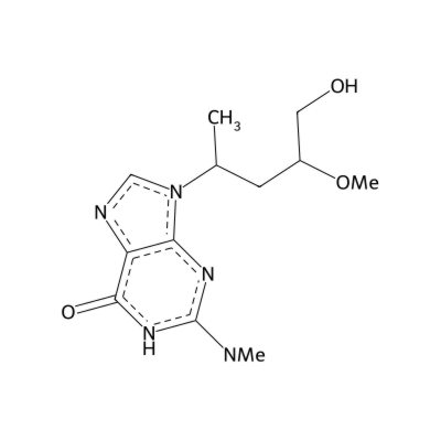 CNc1nc2c(ncn2C(C)CC(CO)OC)c(=O)[nH]1